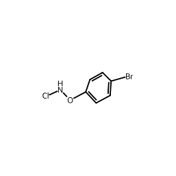 ClNOc1ccc(Br)cc1